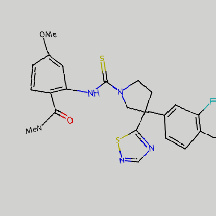 CNC(=O)c1ccc(OC)cc1NC(=S)N1CCC(c2ccc(C)c(F)c2)(c2ncns2)C1